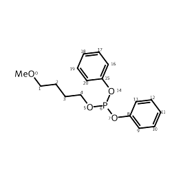 COCCCCOP(Oc1ccccc1)Oc1ccccc1